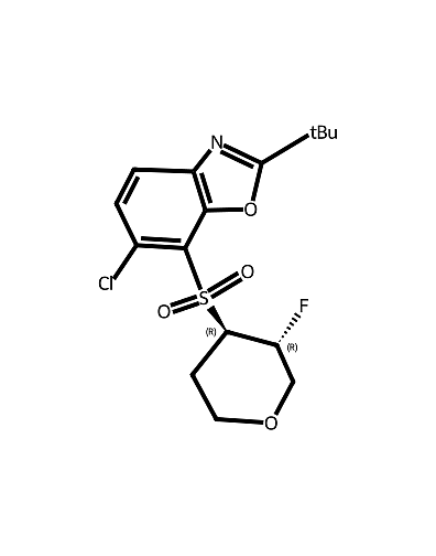 CC(C)(C)c1nc2ccc(Cl)c(S(=O)(=O)[C@@H]3CCOC[C@H]3F)c2o1